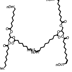 CCCCCCCC/C=C\CCCCCCCC(=O)OCC(COC(=O)CCCCCCC/C=C\CCCCCCCC)OC(=O)CCCCCCC/C=C\CCCCCCCC.CCCCCCCCCCCCCCCCCC(=O)OCC(COC(=O)CCCCCCCCCCCCCCCCC)OC(=O)CCCCCCCCCCCCCCCCC